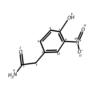 NC(=O)Cc1ccc(O)c([N+](=O)[O-])c1